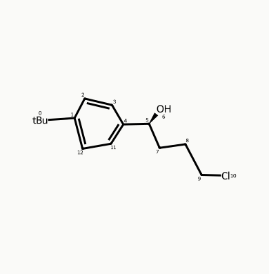 CC(C)(C)c1ccc([C@@H](O)CCCCl)cc1